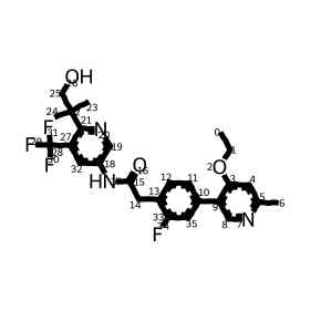 CCOc1cc(C)ncc1-c1ccc(CC(=O)Nc2cnc(C(C)(C)CO)c(C(F)(F)F)c2)c(F)c1